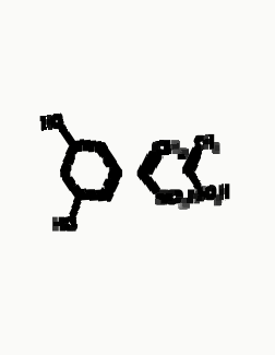 C=CS(=O)(=O)O.C=CS(=O)(=O)O.Oc1cccc(O)c1